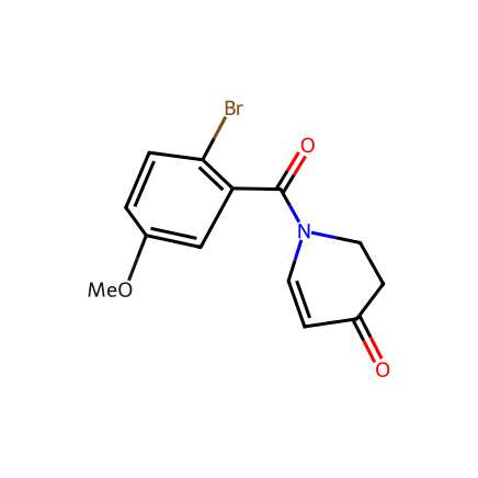 COc1ccc(Br)c(C(=O)N2C=CC(=O)CC2)c1